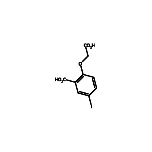 O=C(O)COc1ccc(I)cc1C(=O)O